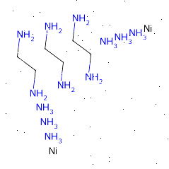 N.N.N.N.N.N.NCCN.NCCN.NCCN.[Ni].[Ni]